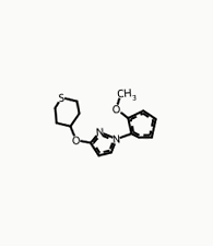 COc1ccccc1-n1ccc(OC2CCSCC2)n1